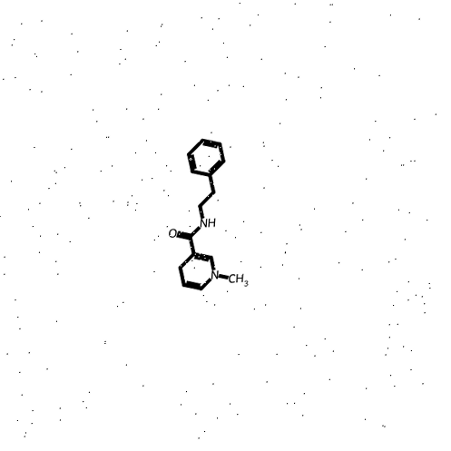 CN1C=CCC(C(=O)NCCc2ccccc2)=C1